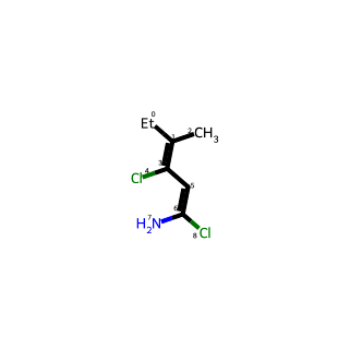 CC/C(C)=C(Cl)/C=C(\N)Cl